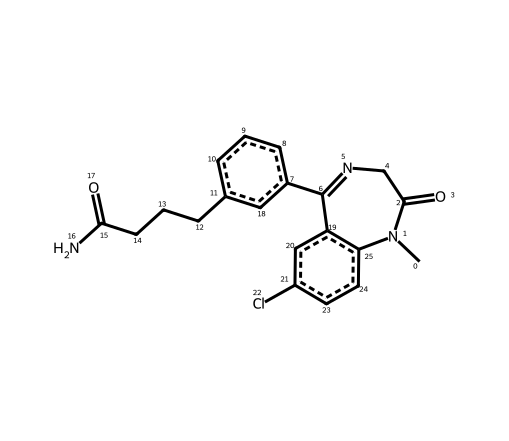 CN1C(=O)CN=C(c2cccc(CCCC(N)=O)c2)c2cc(Cl)ccc21